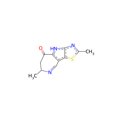 Cc1nc2[nH]c3c(c2s1)C=NC(C)CC3=O